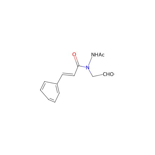 CC(=O)NN(C[C]=O)C(=O)/C=C/c1ccccc1